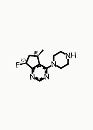 C[C@@H]1C[C@H](F)c2ncnc(N3CCNCC3)c21